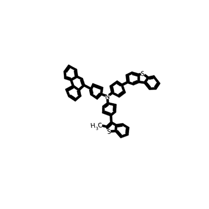 Cc1sc2ccccc2c1-c1ccc(N(c2ccc(-c3ccc4sc5ccccc5c4c3)cc2)c2ccc(-c3cc4ccccc4c4ccccc34)cc2)cc1